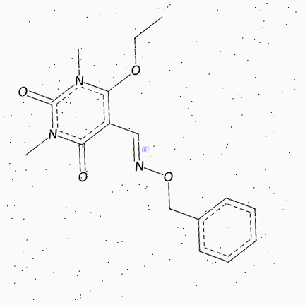 CCOc1c(/C=N/OCc2ccccc2)c(=O)n(C)c(=O)n1C